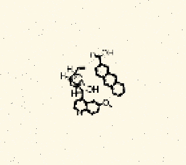 C=C[C@H]1C[N@]2CC[C@H]1C[C@H]2[C@H](O)c1ccnc2ccc(OC)cc12.O=C(O)c1ccc2cc3ccccc3cc2c1